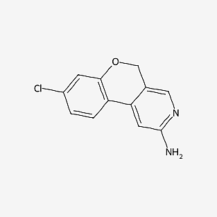 Nc1cc2c(cn1)COc1cc(Cl)ccc1-2